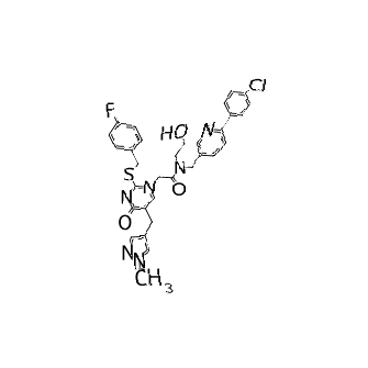 Cn1cc(Cc2cn(CC(=O)N(CCO)Cc3ccc(-c4ccc(Cl)cc4)nc3)c(SCc3ccc(F)cc3)nc2=O)cn1